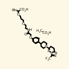 CC(=O)O.CC(C)(C)C(OCCCOCCNC(=O)COc1ccc(C2CCN(C3=Nn4c(nnc4C(F)(F)F)CC3)CC2)cc1)C(=O)O